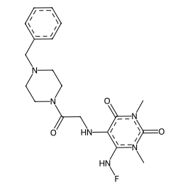 Cn1c(NF)c(NCC(=O)N2CCN(Cc3ccccc3)CC2)c(=O)n(C)c1=O